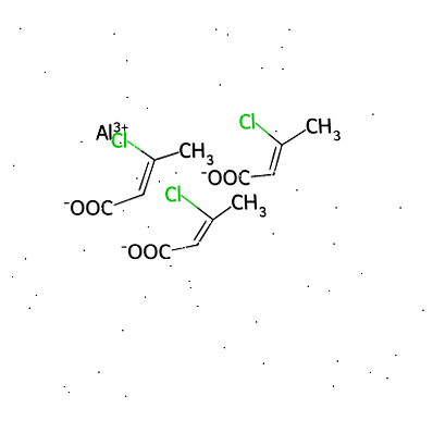 C/C(Cl)=C/C(=O)[O-].C/C(Cl)=C/C(=O)[O-].C/C(Cl)=C/C(=O)[O-].[Al+3]